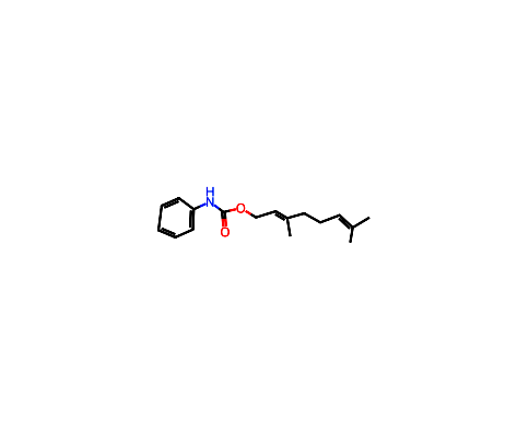 CC(C)=CCC/C(C)=C/COC(=O)Nc1ccccc1